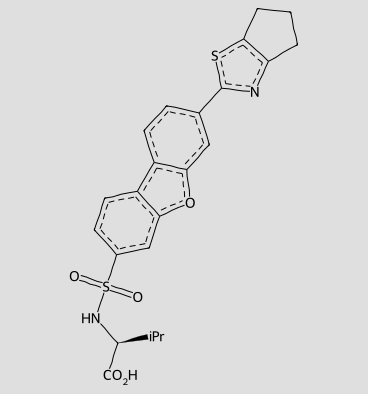 CC(C)[C@H](NS(=O)(=O)c1ccc2c(c1)oc1cc(-c3nc4c(s3)CCC4)ccc12)C(=O)O